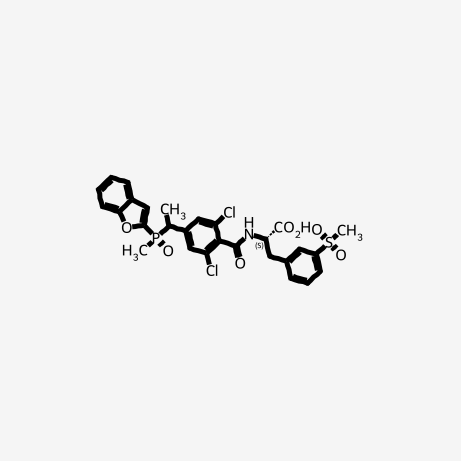 CC(c1cc(Cl)c(C(=O)N[C@@H](Cc2cccc(S(C)(=O)=O)c2)C(=O)O)c(Cl)c1)P(C)(=O)c1cc2ccccc2o1